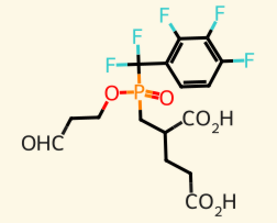 O=CCCOP(=O)(CC(CCC(=O)O)C(=O)O)C(F)(F)c1ccc(F)c(F)c1F